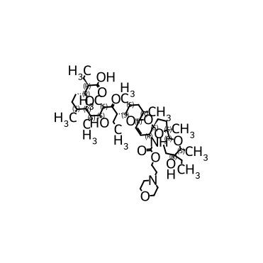 CCC(C(=O)[C@@H](C)[C@@H](O)[C@H](C)[C@@H]1O[C@@H]([C@@H](CC)C(=O)O)CC[C@@H]1C)[C@H]1O[C@]2(C=C[C@@H](NC(=O)OCCN3CCOCC3)[C@]3(CC[C@@](C)([C@H]4CC[C@](O)(CC)[C@H](C)O4)O3)O2)[C@H](C)C[C@@H]1C